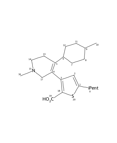 CCCC(C)c1cc(C2=C(C3CCC(C)CC3)CCN(C)C2)c(C(=O)O)s1